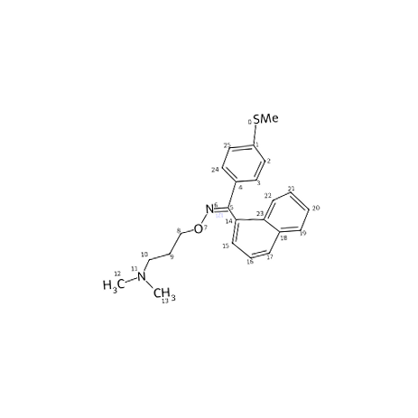 CSc1ccc(/C(=N/OCCCN(C)C)c2cccc3ccccc23)cc1